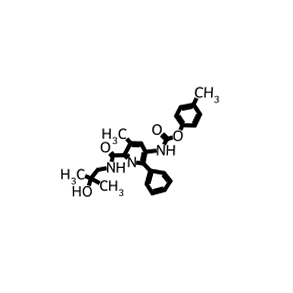 Cc1ccc(OC(=O)Nc2cc(C)c(C(=O)NCC(C)(C)O)nc2-c2ccccc2)cc1